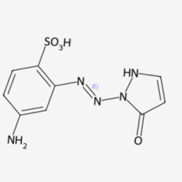 Nc1ccc(S(=O)(=O)O)c(/N=N/n2[nH]ccc2=O)c1